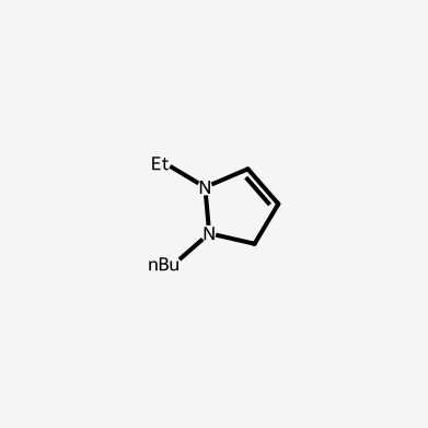 CCCCN1CC=CN1CC